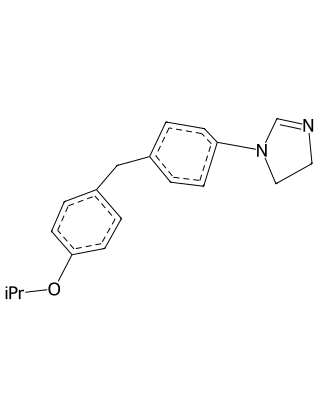 CC(C)Oc1ccc(Cc2ccc(N3C=NCC3)cc2)cc1